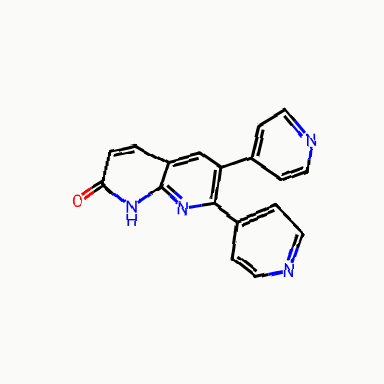 O=c1ccc2cc(-c3ccncc3)c(-c3ccncc3)nc2[nH]1